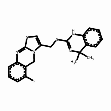 CC1(C)N=C(SCC2=CSC3=Nc4cccc(F)c4CN23)Nc2ccccc21